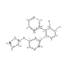 Cc1ccc(-c2cc(Cn3ccnc3)ccn2)c(-c2ccccc2)c1C